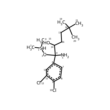 C[SiH](C)OC(N)(c1ccc(Cl)c(Cl)c1)C(O)CCC(C)(C)C